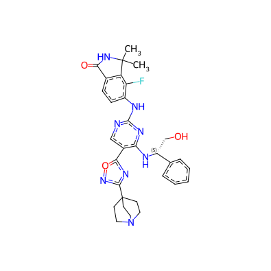 CC1(C)NC(=O)c2ccc(Nc3ncc(-c4nc(C56CCN(CC5)CC6)no4)c(N[C@H](CO)c4ccccc4)n3)c(F)c21